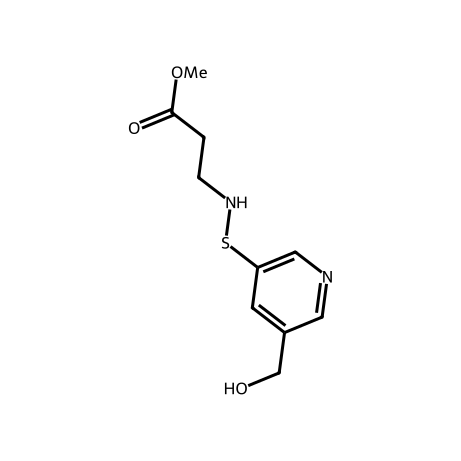 COC(=O)CCNSc1cncc(CO)c1